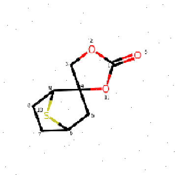 O=C1OCC2(CC3CCC2S3)O1